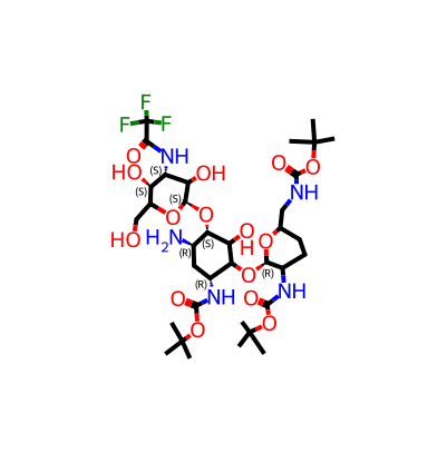 CC(C)(C)OC(=O)NCC1CCC(NC(=O)OC(C)(C)C)[C@@H](OC2C(O)[C@@H](O[C@H]3OC(CO)[C@@H](O)[C@H](NC(=O)C(F)(F)F)C3O)[C@H](N)C[C@H]2NC(=O)OC(C)(C)C)O1